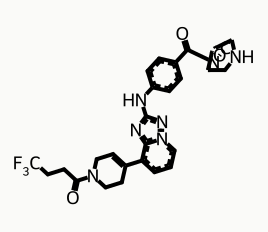 O=C(CCC(F)(F)F)N1CC=C(c2cccn3nc(Nc4ccc(C(=O)N5CC6COCC5CN6)cc4)nc23)CC1